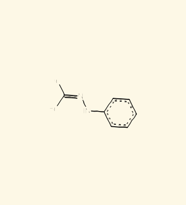 BrC(Br)=NNc1ccccc1